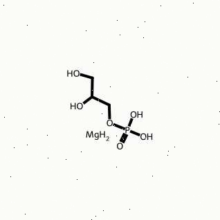 O=P(O)(O)OCC(O)CO.[MgH2]